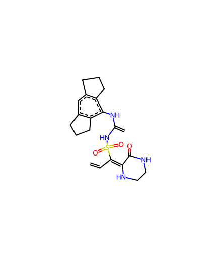 C=C/C(=C1\NCCNC1=O)S(=O)(=O)NC(=C)Nc1c2c(cc3c1CCC3)CCC2